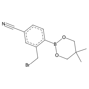 CC1(C)COB(c2ccc(C#N)cc2CBr)OC1